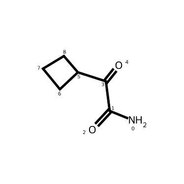 NC(=O)C(=O)C1CCC1